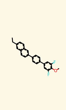 CCc1ccc2cc(-c3ccc(-c4cc(F)c(OC)c(F)c4)cc3)ccc2c1